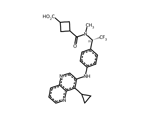 CN(C(=O)C1CC(C(=O)O)C1)[C@@H](c1ccc(Nc2cnc3cccnc3c2C2CC2)cc1)C(F)(F)F